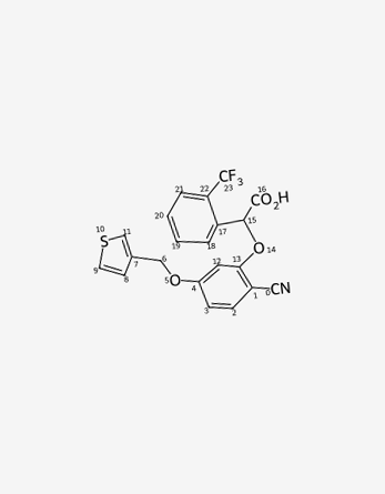 N#Cc1ccc(OCc2ccsc2)cc1OC(C(=O)O)c1ccccc1C(F)(F)F